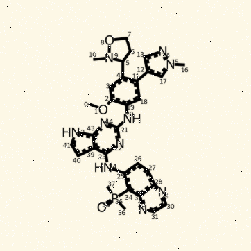 COc1cc(C2CCON2C)c(-c2cnn(C)c2)cc1Nc1nc(Nc2ccc3nccnc3c2P(C)(C)=O)c2cc[nH]c2n1